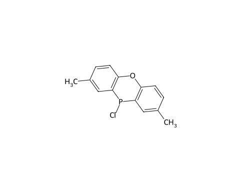 Cc1ccc2c(c1)P(Cl)c1cc(C)ccc1O2